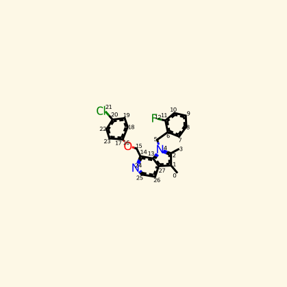 Cc1c(C)n(Cc2ccccc2F)c2c(COc3ccc(Cl)cc3)nccc12